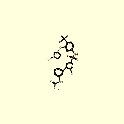 CC(=O)Nc1cccc(-c2cc(S(=O)(=O)Nc3ccc(C(F)(F)F)c(O[C@@H]4CCN(C)C4)c3)sc2Cl)c1